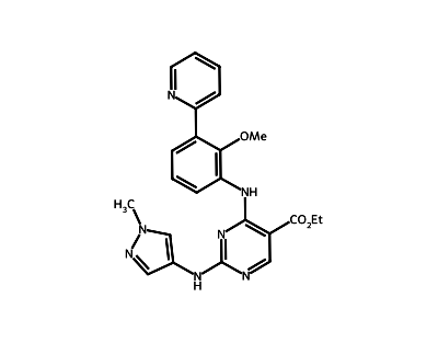 CCOC(=O)c1cnc(Nc2cnn(C)c2)nc1Nc1cccc(-c2ccccn2)c1OC